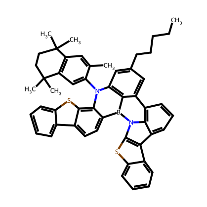 CCCCCc1cc2c3c(c1)N(c1cc4c(cc1C)C(C)(C)CCC4(C)C)c1c(ccc4c1sc1ccccc14)B3n1c3sc4ccccc4c3c3cccc-2c31